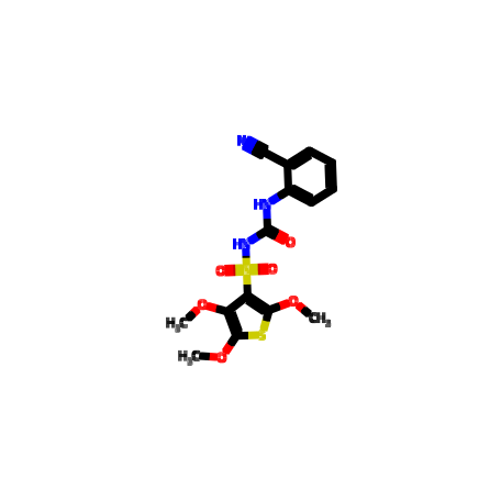 COc1sc(OC)c(S(=O)(=O)NC(=O)Nc2ccccc2C#N)c1OC